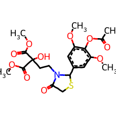 COC(=O)C(O)(CCN1C(=O)CSC1c1cc(OC)c(OC(C)=O)c(OC)c1)C(=O)OC